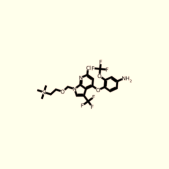 C[Si](C)(C)CCOCn1cc(C(F)(F)F)c2c(Oc3ccc(N)cc3OC(F)(F)F)cc(Cl)nc21